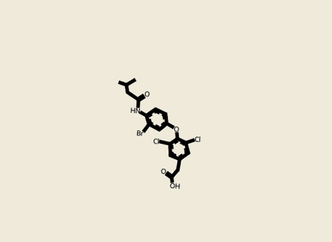 CC(C)CC(=O)Nc1ccc(Oc2c(Cl)cc(CC(=O)O)cc2Cl)cc1Br